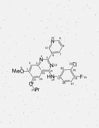 COc1cc2nc(-c3cccnc3)nc(Nc3ccc(F)c(Cl)c3)c2cc1OC(C)C